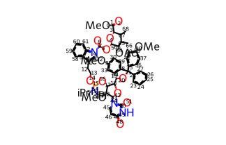 COC(=O)C1OC(OC(=O)n2cc(CCOP(OC3[C@@H](COC(c4ccccc4)(c4ccc(OC)cc4)c4ccc(OC)cc4)O[C@@H](n4ccc(=O)[nH]c4=O)[C@H]3OC)N(C(C)C)C(C)C)c3ccccc32)C(OC(C)=O)C(C)C1C